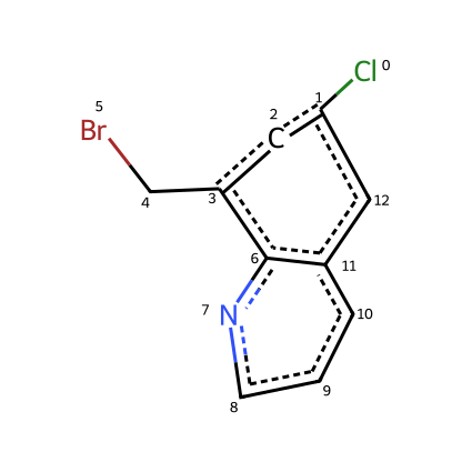 Clc1cc(CBr)c2ncccc2c1